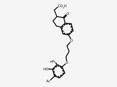 CCCc1c(OCCCOc2ccc3c(c2)CCC(CC(=O)O)C3=O)ccc(C(C)=O)c1O